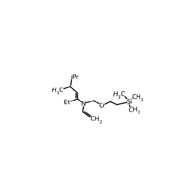 C=CN(COCC[Si](C)(C)C)/C(=C/C(C)C(C)C)CC